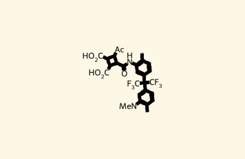 CNc1cc(C(c2ccc(C)c(NC(=O)C3C(C(C)=O)C(C(=O)O)C3C(=O)O)c2)(C(F)(F)F)C(F)(F)F)ccc1C